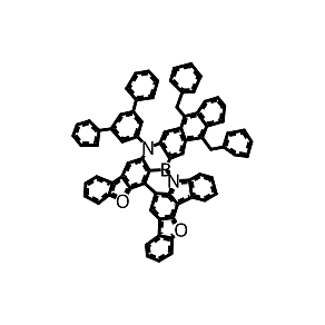 c1ccc(Cc2c3ccccc3c(Cc3ccccc3)c3cc4c(cc23)B2c3c(cc5c(oc6ccccc65)c3-c3cc5c6ccccc6oc5c5c6ccccc6n2c35)N4c2cc(-c3ccccc3)cc(-c3ccccc3)c2)cc1